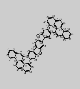 c1ccc2c(c1)cc(-c1ccc3oc4cc5c(cc4c3c1)oc1ccc(-c3cc4ccccc4c4ccc6ccccc6c34)cc15)c1c3ccccc3ccc21